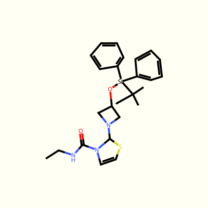 CCNC(=O)N1C=CSC1N1CC(O[Si](c2ccccc2)(c2ccccc2)C(C)(C)C)C1